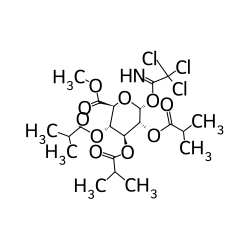 COC(=O)[C@H]1O[C@H](OC(=N)C(Cl)(Cl)Cl)[C@H](OC(=O)C(C)C)[C@@H](OC(=O)C(C)C)[C@@H]1OC(=O)C(C)C